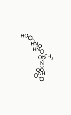 CN(CCN1CCC(OC(=O)Nc2ccccc2-c2ccccc2)CC1)C(=O)c1cccc(NC(=O)CNCCc2ccc(O)cc2)c1